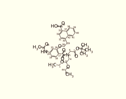 CCOC(CN(CC(=O)OC(C)(C)C)S(=O)(=O)c1ccc(NC(C)=O)cc1OCCc1ccc(C(=O)O)c2ccccc12)OCC